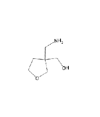 NCC1(CO)CCOC1